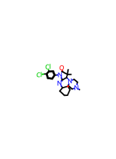 CN1CCN(C2C(=NC3CCCCC3)N(c3ccc(Cl)c(Cl)c3)C(=O)C2(C)C)CC1